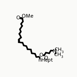 CCCCCCCC(CCCCCCCC/C=C\CCCCCCCC(=O)OC)OC(=O)CCCN(C)C